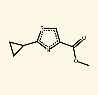 COC(=O)c1csc(C2CC2)n1